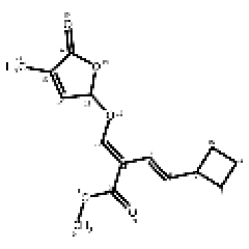 COC(=O)C(/C=C/C1CCC1)=C/OC1C=C(C)C(=O)O1